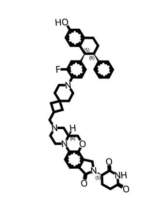 O=C1CC[C@H](N2Cc3c(ccc4c3OC[C@H]3CN(CC5CC6(CCN(c7ccc([C@H]8c9ccc(O)cc9CC[C@H]8c8ccccc8)cc7F)CC6)C5)CCN43)C2=O)C(=O)N1